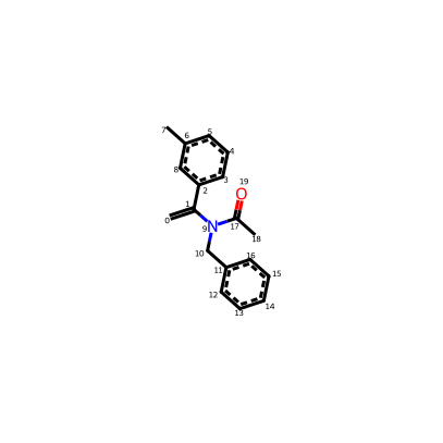 C=C(c1cccc(C)c1)N(Cc1ccccc1)C(C)=O